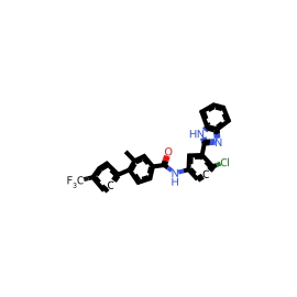 Cc1cc(C(=O)Nc2ccc(Cl)c(-c3nc4ccccc4[nH]3)c2)ccc1-c1ccc(C(F)(F)F)cc1